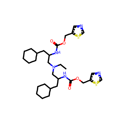 CCN(CC(CC1CCCCC1)NC(=O)OCc1cncs1)CC(CC1CCCCC1)NC(=O)OCc1cncs1